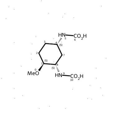 CO[C@H]1CC[C@H](NC(=O)O)C[C@@H]1NC(=O)O